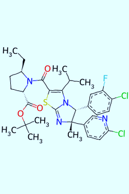 CC[C@@H]1CC[C@@H](C(=O)OC(C)(C)C)N1C(=O)C1=C(C(C)C)N2C(=N[C@@](C)(c3ccc(Cl)nc3)[C@H]2c2ccc(Cl)c(F)c2)S1